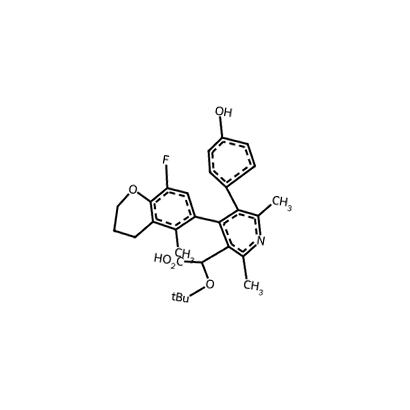 Cc1nc(C)c(C(OC(C)(C)C)C(=O)O)c(-c2cc(F)c3c(c2C)CCCO3)c1-c1ccc(O)cc1